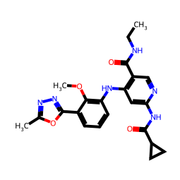 CCNC(=O)c1cnc(NC(=O)C2CC2)cc1Nc1cccc(-c2nnc(C)o2)c1OC